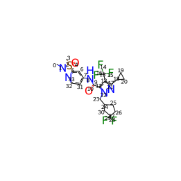 CN=S(C)(=O)c1cc(NC(=O)c2c(C(F)(F)F)c(C3CC3)nn2CC2CCC(F)(F)C2)ccn1